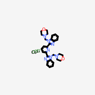 [Cl-].[Cl-].[Cl-].[Co+3].c1cc(-c2nc3ccccc3n2CN2CCOCC2)nc(-c2nc3ccccc3n2CN2CCOCC2)c1